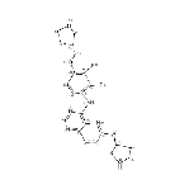 Fc1c(Nc2ncnc3ccc(O[C@H]4CCNC4)nc23)ccc(OC[C@@H]2CCOC2)c1F